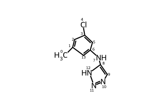 Cc1cc(Cl)cc(Nc2cnn[nH]2)c1